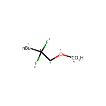 CCCCC(F)(F)COC(=O)O